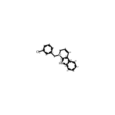 Clc1cccc(CN2CC=Cc3c2[nH]c2ccccc32)c1